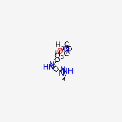 C[C@@H]1CCC[C@H](C)N1CCOc1ccc2cc(-c3n[nH]c4ccc(-c5n[nH]c(CC6CC6)n5)cc34)ccc2c1